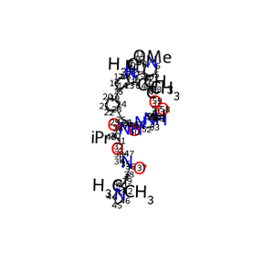 CCn1c(-c2cccnc2[C@H](C)OC)c2c3cc(ccc31)-c1cccc(c1)C[C@H](NC(=O)C(COC1CN(C(=O)C#CC(C)(C)N3CCC3)C1)C(C)C)C(=O)N1CCC[C@H](N1)C(=O)OCC(C)(C)C2